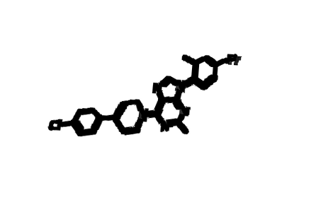 Cc1nc(N2CC=C(c3ccc(Cl)cc3)CC2)c2ncn(-c3ccc(C(C)C)cc3C)c2n1